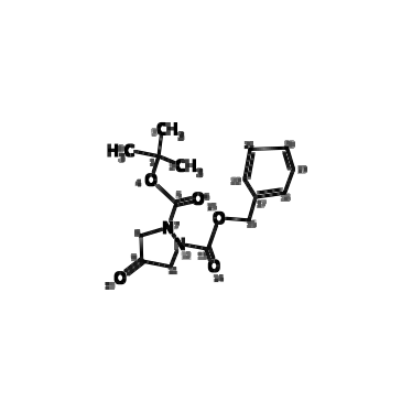 CC(C)(C)OC(=O)N1CC(=O)CN1C(=O)OCc1ccccc1